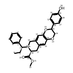 CC[C@@H](c1ccccc1)N1Cc2cc3c(cc2C[C@H]1C(=O)OC)OCC(c1ccc(O)cc1)O3